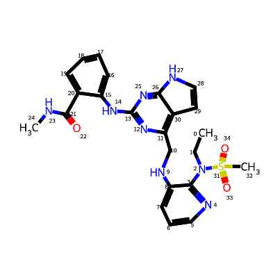 CCN(c1ncccc1NCc1nc(Nc2ccccc2C(=O)NC)nc2[nH]ccc12)S(C)(=O)=O